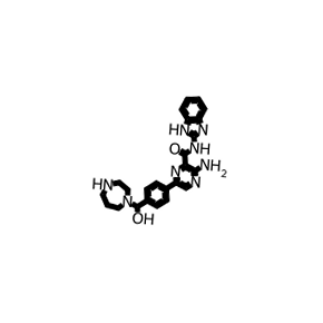 Nc1ncc(-c2ccc(C(O)N3CCCNCC3)cc2)nc1C(=O)Nc1nc2ccccc2[nH]1